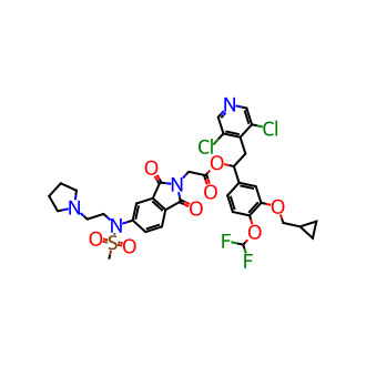 CS(=O)(=O)N(CCN1CCCC1)c1ccc2c(c1)C(=O)N(CC(=O)OC(Cc1c(Cl)cncc1Cl)c1ccc(OC(F)F)c(OCC3CC3)c1)C2=O